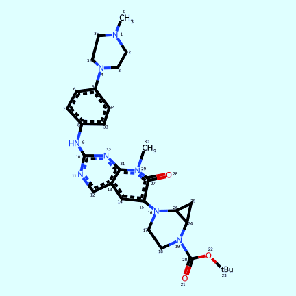 CN1CCN(c2ccc(Nc3ncc4cc(N5CCN(C(=O)OC(C)(C)C)C6CC65)c(=O)n(C)c4n3)cc2)CC1